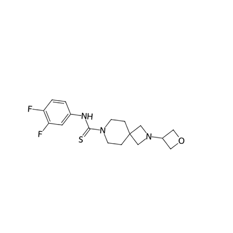 Fc1ccc(NC(=S)N2CCC3(CC2)CN(C2COC2)C3)cc1F